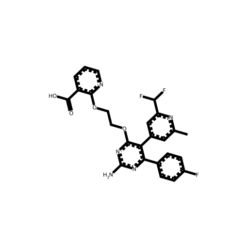 Cc1cc(-c2c(OCCOc3ncccc3C(=O)O)nc(N)nc2-c2ccc(F)cc2)cc(C(F)F)n1